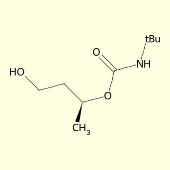 C[C@@H](CCO)OC(=O)NC(C)(C)C